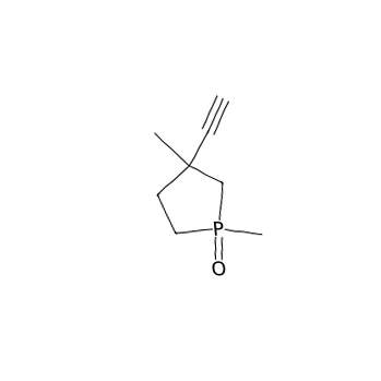 C#CC1(C)CCP(C)(=O)C1